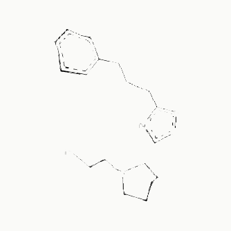 CC(C)CCN1CCC[C@H]1c1nc(CCCc2ccccc2)no1